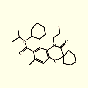 CCCN1C(=O)C2(CCCCC2)Oc2cc(C)c(C(=O)N(C(C)C)C3CCCCC3)cc21